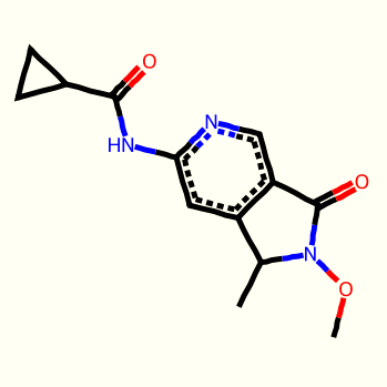 CON1C(=O)c2cnc(NC(=O)C3CC3)cc2C1C